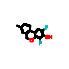 Cc1ccc2c(c1)COc1c-2cc(F)c(O)c1F